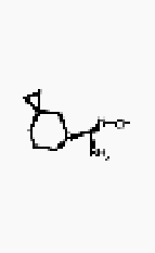 NC(=NO)N1CCCC2(CC2)C1